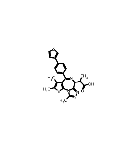 Cc1sc2c(c1C)C(c1ccc(-c3ccsc3)cc1)=N[C@@H](C(C)C(=O)O)c1nnc(C)n1-2